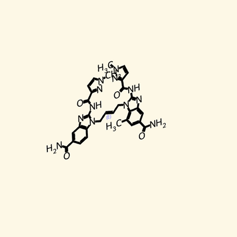 Cc1cc(C(N)=O)cc2nc(NC(=O)c3ccn(C)n3)n(C/C=C/Cn3c(NC(=O)c4ccn(C)n4)nc4cc(C(N)=O)ccc43)c12